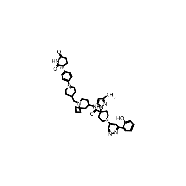 Cc1ccn(C2(C(=O)NC3CCN(CC4CCN(c5ccc([C@H]6CCC(=O)NC6=O)cc5)CC4)C4(CCC4)C3)CCN(c3cnnc(-c4ccccc4O)c3)CC2)n1